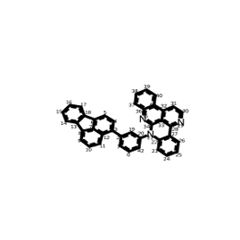 c1cc(-c2ccc3c4c(cccc24)-c2ccccc2-3)cc(N2c3ccccc3-c3nccc4c3c2nc2ccccc24)c1